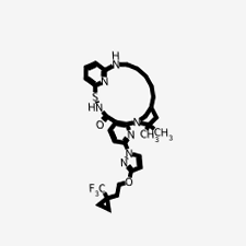 CC1(C)CC2CCCCCNc3cccc(n3)SNC(=O)c3ccc(-n4ccc(OCCC5(C(F)(F)F)CC5)n4)nc3N1C2